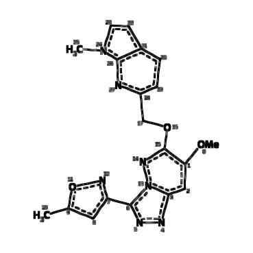 COc1cc2nnc(-c3cc(C)on3)n2nc1OCc1ccc2ccn(C)c2n1